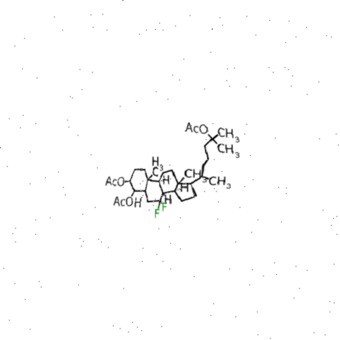 CC(=O)O[C@H]1[C@@H](OC(C)=O)CC[C@@]2(C)[C@H]1CC(F)(F)[C@@H]1[C@@H]2CC[C@]2(C)[C@@H]([C@H](C)CCCC(C)(C)OC(C)=O)CC[C@@H]12